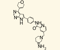 N[C@@H]1CCCN(Cc2ccnc(C(=O)Nc3ccc(-c4cc5c(C6=CCOCC6)ncnc5[nH]4)cc3)c2)C1